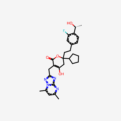 Cc1cc(C)n2nc(CC3=C(O)CC(CCc4ccc([C@@H](C)O)c(F)c4)(C4CCCC4)OC3=O)nc2n1